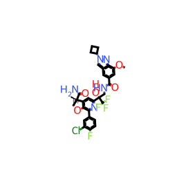 COc1cc(C(=O)NCC(O)(c2cc3c(c(-c4ccc(F)c(Cl)c4)n2)OC[C@]3(C)C(N)=O)C(F)(F)F)cc2cn(C3CCC3)nc12